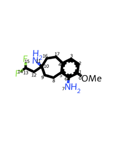 COc1ccc2c(c1N)CCC(N)(CC(F)F)CC2